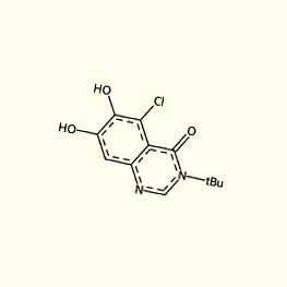 CC(C)(C)n1cnc2cc(O)c(O)c(Cl)c2c1=O